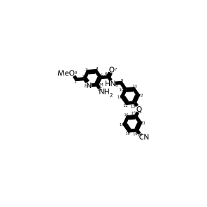 COCc1ccc(C(=O)NCc2ccc(Oc3cccc(C#N)c3)cc2)c(N)n1